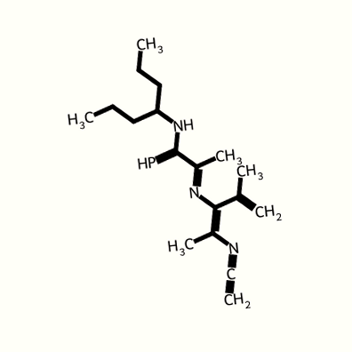 C=C=N/C(C)=C(/N=C(\C)C(=P)NC(CCC)CCC)C(=C)C